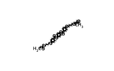 C=CC(=O)OCCCCOc1ccc(C(=O)Oc2ccc(OC(=O)c3ccc(OCCCCOCC4(C)COC4)cc3)cc2)cc1